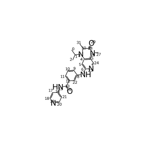 CC(C)N1c2cc(Nc3cccc(C(=O)Nc4ccncc4)c3)ncc2N(C)C(=O)C1C